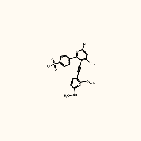 CNc1ccc(C#Cc2c(C)nc(N)nc2-c2ccc(S(C)(=O)=O)cc2)c(OC)n1